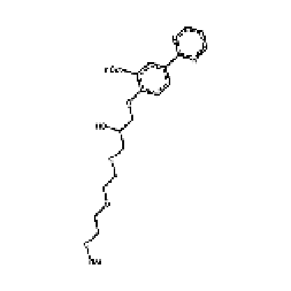 CCCCCCCCc1cc(-c2ncccn2)ccc1OCC(O)COCCOCCOCCCC